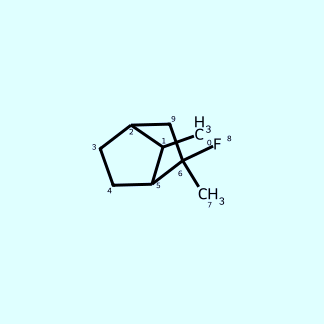 CC1C2CCC1C(C)(F)C2